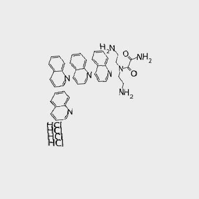 Cl.Cl.Cl.Cl.NCCN(CCN)C(=O)C(N)=O.c1ccc2ncccc2c1.c1ccc2ncccc2c1.c1ccc2ncccc2c1.c1ccc2ncccc2c1